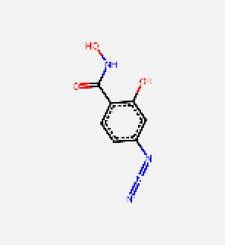 [N-]=[N+]=Nc1ccc(C(=O)NO)c(O)c1